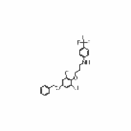 FC(F)(F)c1ccc(NCCCOc2c(Cl)cc(OCc3ccccc3)cc2Cl)cc1